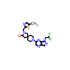 Cc1cnc(CN2CC3(CCN(c4cnc5cnn(CC(F)F)c5n4)CC3)CC2=O)s1